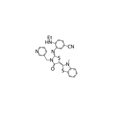 CCNc1ccc(C#N)cc1N=C1SC(=C2Sc3ccccc3N2C)C(=O)N1Cc1cccnc1